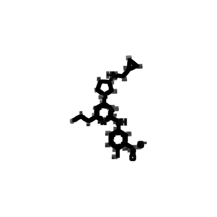 CCCc1cc(N2CC[C@H](NCC3CC3)C2)nc(Nc2ccc(C)c([N+](=O)[O-])c2)n1